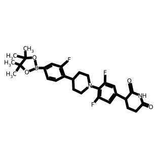 CC1(C)OB(c2ccc(C3CCN(c4c(F)cc(C5CCC(=O)NC5=O)cc4F)CC3)c(F)c2)OC1(C)C